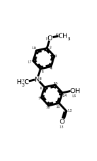 COc1ccc(N(C)c2ccc(C=O)c(O)c2)cc1